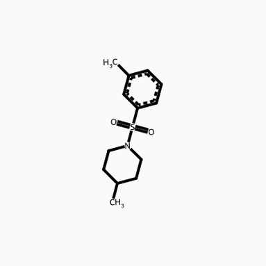 Cc1cccc(S(=O)(=O)N2CCC(C)CC2)c1